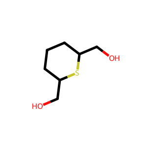 OCC1CCCC(CO)S1